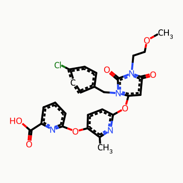 COCCn1c(=O)cc(Oc2ccc(Oc3cccc(C(=O)O)n3)c(C)n2)n(Cc2ccc(Cl)cc2)c1=O